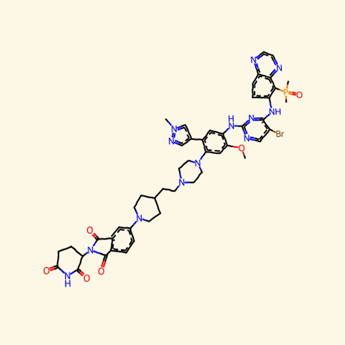 COc1cc(N2CCN(CCC3CCN(c4ccc5c(c4)C(=O)N(C4CCC(=O)NC4=O)C5=O)CC3)CC2)c(-c2cnn(C)c2)cc1Nc1ncc(Br)c(Nc2ccc3nccnc3c2P(C)(C)=O)n1